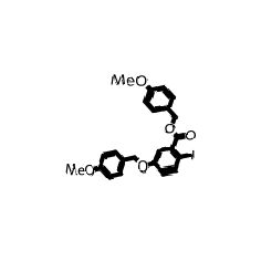 COc1ccc(COC(=O)c2cc(OCc3ccc(OC)cc3)ccc2I)cc1